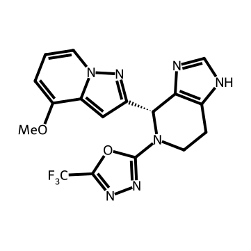 COc1cccn2nc([C@@H]3c4nc[nH]c4CCN3c3nnc(C(F)(F)F)o3)cc12